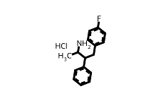 CC(N)C(Cc1ccc(F)cc1)c1ccccc1.Cl